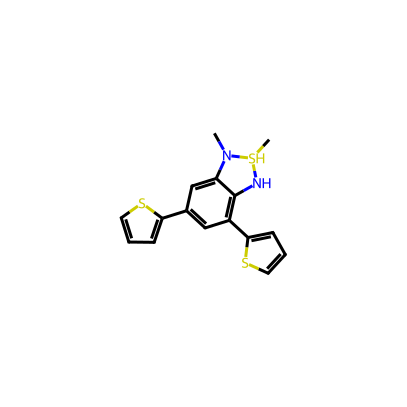 CN1c2cc(-c3cccs3)cc(-c3cccs3)c2N[SH]1C